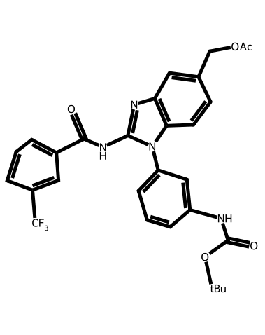 CC(=O)OCc1ccc2c(c1)nc(NC(=O)c1cccc(C(F)(F)F)c1)n2-c1cccc(NC(=O)OC(C)(C)C)c1